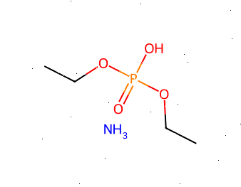 CCOP(=O)(O)OCC.N